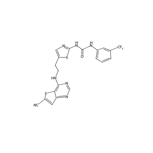 N#Cc1cc2ncnc(NCCc3cnc(NC(=O)Nc4cccc(C(F)(F)F)c4)s3)c2s1